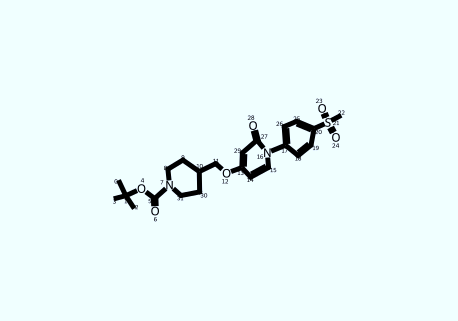 CC(C)(C)OC(=O)N1CCC(COc2ccn(-c3ccc(S(C)(=O)=O)cc3)c(=O)c2)CC1